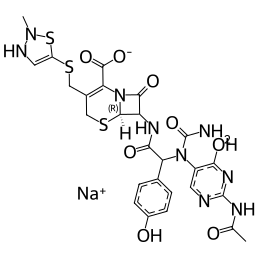 CC(=O)Nc1ncc(N(C(N)=O)C(C(=O)NC2C(=O)N3C(C(=O)[O-])=C(CSC4=CNN(C)S4)CS[C@H]23)c2ccc(O)cc2)c(O)n1.[Na+]